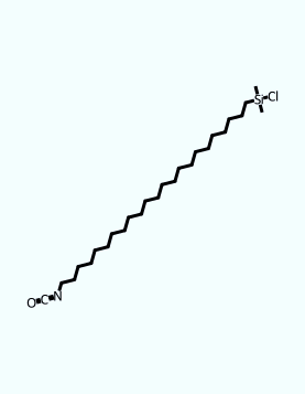 C[Si](C)(Cl)CCCCCCCCCCCCCCCCCCCCCCCN=C=O